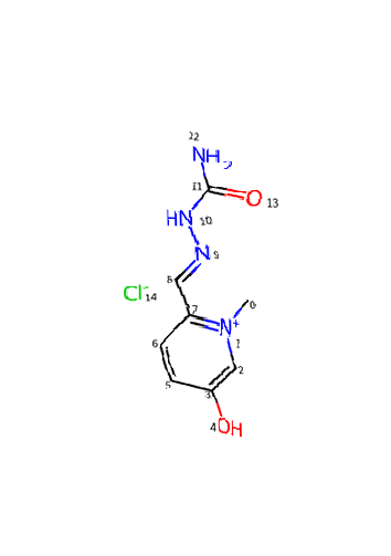 C[n+]1cc(O)ccc1C=NNC(N)=O.[Cl-]